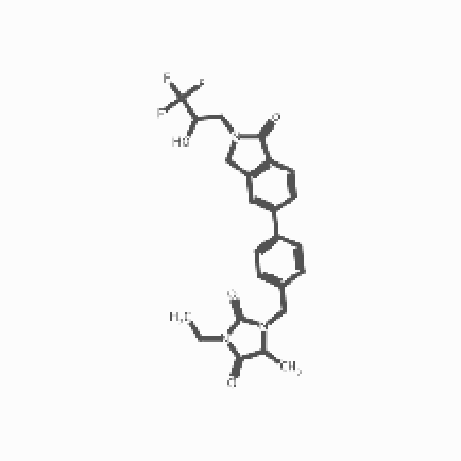 CCN1C(=O)C(C)N(Cc2ccc(-c3ccc4c(c3)CN(CC(O)C(F)(F)F)C4=O)cc2)C1=O